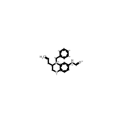 C=CCC1COc2ccc(NC=O)cc2N1Cc1ccccc1